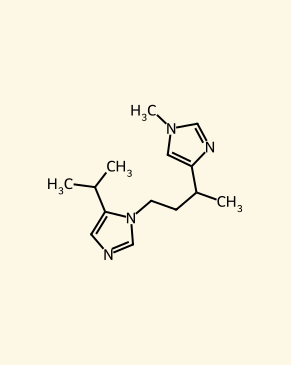 CC(C)c1cncn1CCC(C)c1cn(C)cn1